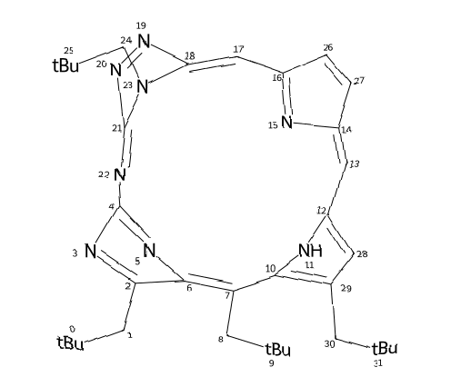 CC(C)(C)CC1=Nc2nc1c(CC(C)(C)C)c1[nH]c(cc3nc(cc4nnc(n2)n4CC(C)(C)C)C=C3)cc1CC(C)(C)C